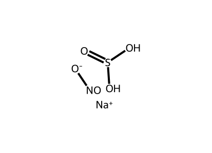 O=N[O-].O=S(O)O.[Na+]